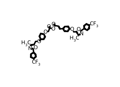 Cc1nc(-c2ccc(C(F)(F)F)cc2)oc1COc1ccc(/C=C/C(=O)OC(=O)COc2ccc(OCc3oc(-c4ccc(C(F)(F)F)cc4)nc3C)cc2)cc1